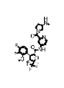 CN[C@H]1CCN(C(=O)c2cc(NC(=O)[C@@H]3O[C@@](C)(C(F)(F)F)[C@@H](C)[C@H]3c3ccc(F)c(F)c3OC)ccn2)C1